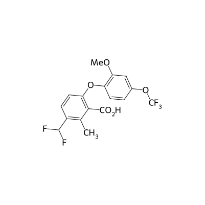 COc1cc(OC(F)(F)F)ccc1Oc1ccc(C(F)F)c(C)c1C(=O)O